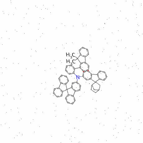 CC1(C)c2ccccc2-c2cccc(-c3ccccc3N(c3ccc4c(c3)C3(c5ccccc5-c5ccccc53)c3ccccc3-4)c3ccc4c(c3)C3(CC5CCC3C5)c3ccccc3-4)c21